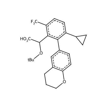 CC(C)(C)OC(C(=O)O)c1c(C(F)(F)F)ccc(C2CC2)c1-c1ccc2c(c1)CCCO2